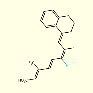 CC(/C=C1\CCCc2ccccc21)=C(F)/C=C/C(=C/C(=O)O)C(F)(F)F